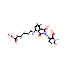 CN1C(=O)CCC(N2C(=O)c3cccc(NCCCCCC(=O)O)c3C2=O)C1=O